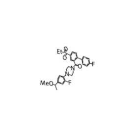 CCS(=O)(=O)c1ccc(-c2ccc(F)cc2)c(C(=O)N2CCN(c3ccc(C(C)OC)cc3F)CC2)c1